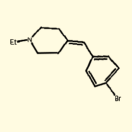 CCN1CCC(=Cc2ccc(Br)cc2)CC1